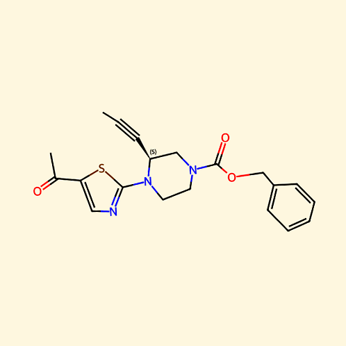 CC#C[C@H]1CN(C(=O)OCc2ccccc2)CCN1c1ncc(C(C)=O)s1